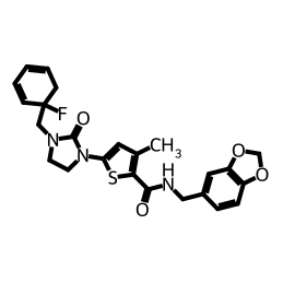 Cc1cc(N2CCN(CC3(F)C=CC=CC3)C2=O)sc1C(=O)NCc1ccc2c(c1)OCO2